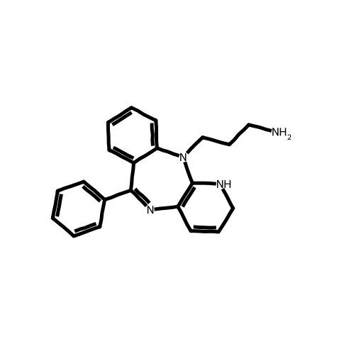 NCCCN1C2=C(C=CCN2)N=C(c2ccccc2)c2ccccc21